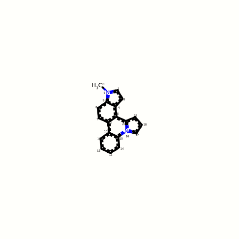 Cn1ccc2c3c(ccc21)c1ccccc1n1cccc31